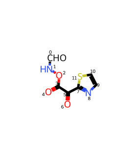 O=CNOC(=O)C(=O)c1nccs1